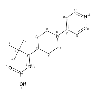 CC(C)(C)C(NC(=O)O)C1CCN(c2ccncc2)CC1